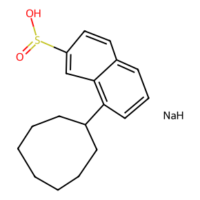 O=S(O)c1ccc2cccc(C3CCCCCCC3)c2c1.[NaH]